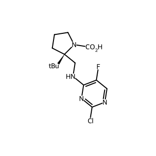 CC(C)(C)[C@@]1(CNc2nc(Cl)ncc2F)CCCN1C(=O)O